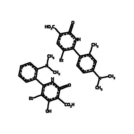 CCc1c(-c2ccccc2N(C)C)[nH]c(=O)c(C(=O)O)c1O.CCc1cc(C(=O)O)c(=O)[nH]c1-c1ccc(N(C)C)cc1C